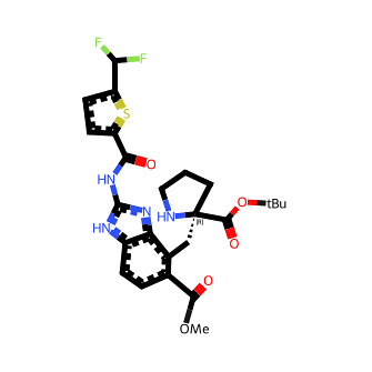 COC(=O)c1ccc2[nH]c(NC(=O)c3ccc(C(F)F)s3)nc2c1C[C@@]1(C(=O)OC(C)(C)C)CCCN1